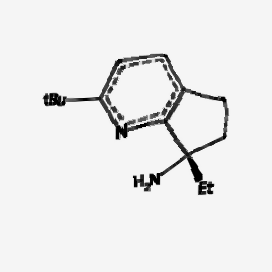 CC[C@]1(N)CCc2ccc(C(C)(C)C)nc21